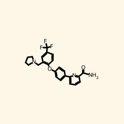 NC(=O)c1cccc(-c2ccc(Oc3ccc(C(F)(F)F)cc3CN3CCCC3)cc2)n1